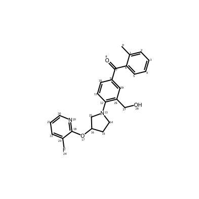 Cc1ccccc1C(=O)c1ccc(N2CCC(Oc3ncccc3F)C2)c(CO)c1